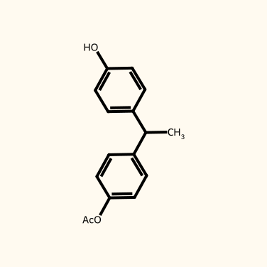 CC(=O)Oc1ccc(C(C)c2ccc(O)cc2)cc1